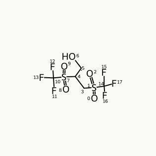 O=S(=O)(CC([CH]O)S(=O)(=O)C(F)(F)F)C(F)(F)F